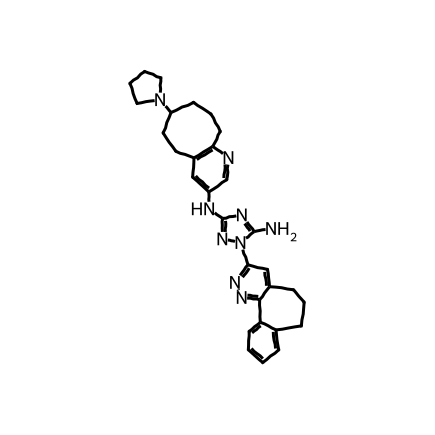 Nc1nc(Nc2cnc3c(c2)CCC(N2CCCC2)CCC3)nn1-c1cc2c(nn1)-c1ccccc1CCC2